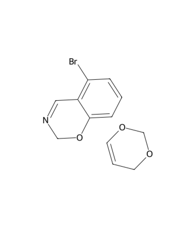 Brc1cccc2c1C=NCO2.C1=COCOC1